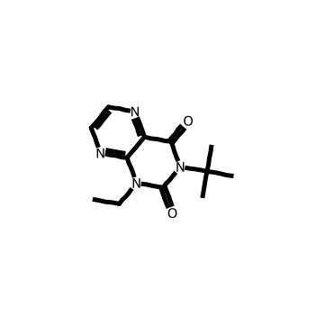 CCn1c(=O)n(C(C)(C)C)c(=O)c2nccnc21